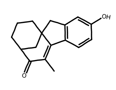 CC1=C2c3ccc(O)cc3CC23CCCC(C3)C1=O